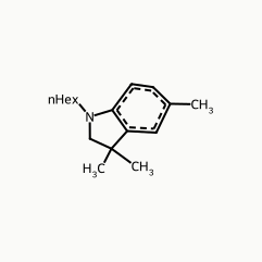 CCCCCCN1CC(C)(C)c2cc(C)ccc21